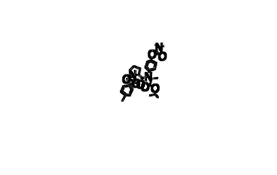 Cc1ccc(S(=O)(=O)N2CCC[C@H]2C(=O)N(c2ccc(OC(=O)N(C)C)cc2)[C@@H](C)C(=O)OC(C)C)cc1